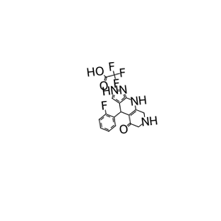 O=C(O)C(F)(F)F.O=C1CNCC2=C1C(c1ccccc1F)c1c[nH]nc1N2